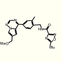 COCc1cc2c(-c3ccc(CNC(=O)c4noc(C(C)(C)C)n4)c(C)c3)ncnn2c1